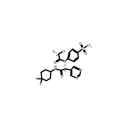 O=C(NC1CCC(F)(F)CC1)[C@@H](c1cncnc1)N(C(=O)[C@H](F)Cl)c1ccc(S(=O)(=O)C(F)(F)F)cc1